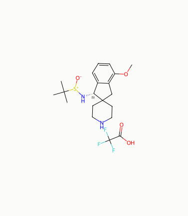 COc1cccc2c1CC1(CCNCC1)[C@@H]2N[S+]([O-])C(C)(C)C.O=C(O)C(F)(F)F